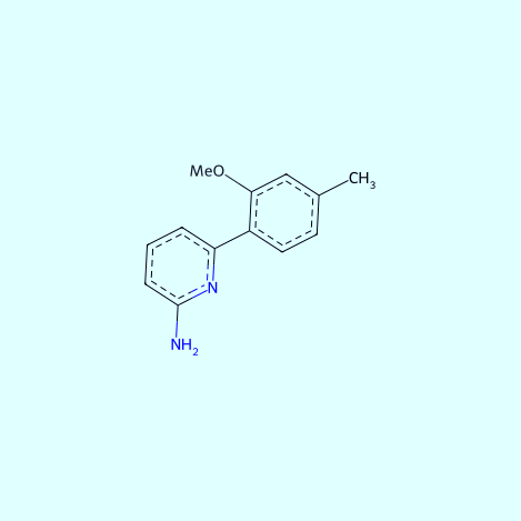 COc1cc(C)ccc1-c1cccc(N)n1